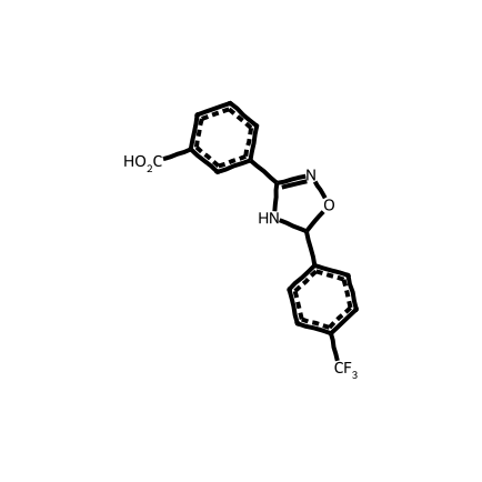 O=C(O)c1cccc(C2=NOC(c3ccc(C(F)(F)F)cc3)N2)c1